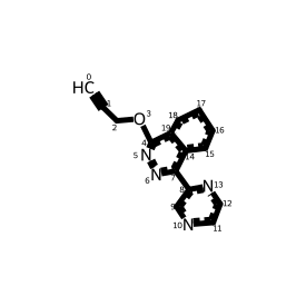 C#CCOc1nnc(-c2cnccn2)c2ccccc12